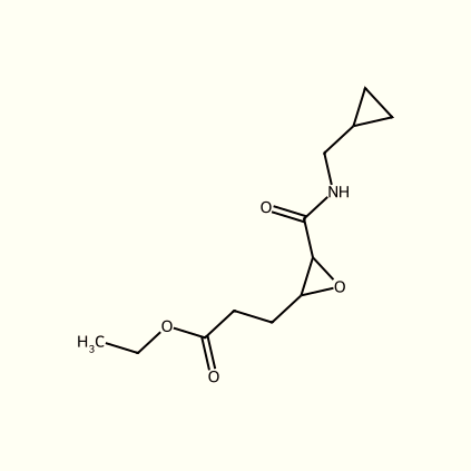 CCOC(=O)CCC1OC1C(=O)NCC1CC1